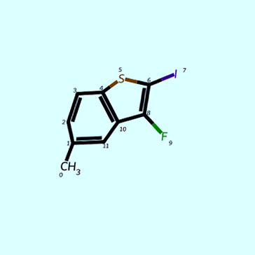 Cc1ccc2sc(I)c(F)c2c1